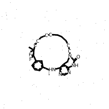 C[C@H]1Nc2ncnc3c2CN(CCCCCCCCCCC(C)(C)C(F)(F)c2cccc1c2)C(=O)N3